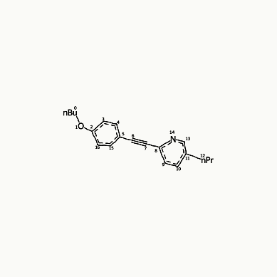 CCCCOc1ccc(C#Cc2ccc(CCC)cn2)cc1